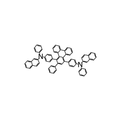 c1ccc(-c2cc(-c3ccc(N(c4ccccc4)c4ccc5ccccc5c4)cc3)c3c4ccccc4c4ccccc4c3c2-c2ccc(N(c3ccccc3)c3ccc4ccccc4c3)cc2)cc1